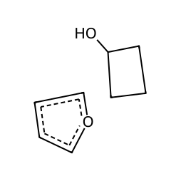 OC1CCC1.c1ccoc1